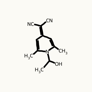 CC1=CC(=C(C#N)C#N)C=C(C)N1C(C)O